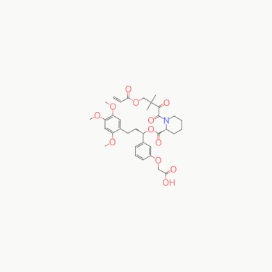 C=CC(=O)OCC(C)(C)C(=O)C(=O)N1CCCC[C@H]1C(=O)O[C@H](CCc1cc(OC)c(OC)cc1OC)c1cccc(OCC(=O)O)c1